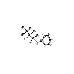 FC(F)(F)C(F)(F)C(F)(F)Cc1ccccc1